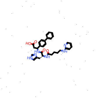 O=C(O)CC(NC(=O)[C@@H](Cc1c[nH]cn1)NC(=O)CCCCNc1ccccn1)c1ccc(-c2ccccc2)cc1